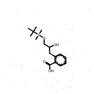 CC(C)(C)[Si](C)(C)OCC(O)Cc1ccccc1C(=O)O